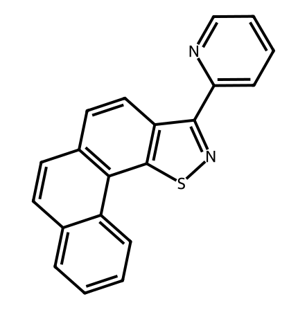 c1ccc(-c2nsc3c2ccc2ccc4ccccc4c23)nc1